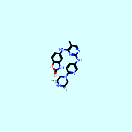 Cc1cnc(Nc2ccc(N3C[C@@H](C)N[C@@H](C)C3)nc2)nc1Nc1ccc2oc(=O)[nH]c2c1